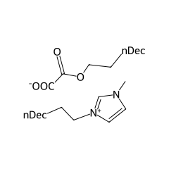 CCCCCCCCCCCCOC(=O)C(=O)[O-].CCCCCCCCCCCC[n+]1ccn(C)c1